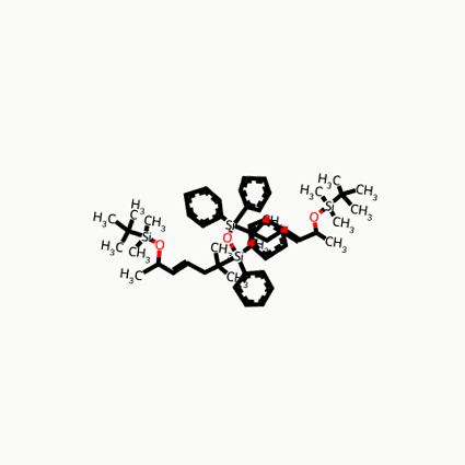 CC(C=CCC(C)(C)[Si](O[Si](c1ccccc1)(c1ccccc1)C(C)(C)CC=CC(C)O[Si](C)(C)C(C)(C)C)(c1ccccc1)c1ccccc1)O[Si](C)(C)C(C)(C)C